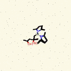 Cc1ccc(C)[n]1[Hf]([CH2]C(C)(O)CC(C)O)[n]1c(C)ccc1C